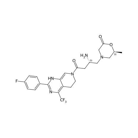 C[C@H]1CN(C[C@@H](N)CC(=O)N2C=C3NC(c4ccc(F)cc4)=NC(C(F)(F)F)=C3CC2)CC(=O)O1